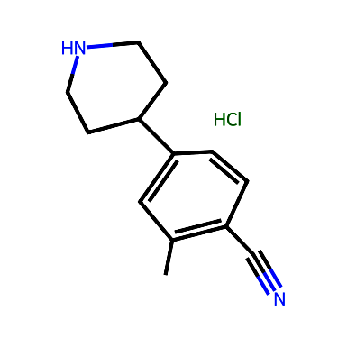 Cc1cc(C2CCNCC2)ccc1C#N.Cl